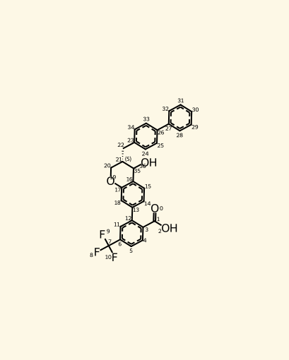 O=C(O)c1ccc(C(F)(F)F)cc1-c1ccc2c(c1)OC[C@H](Cc1ccc(-c3ccccc3)cc1)C2O